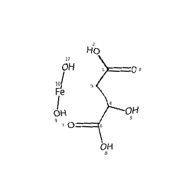 O=C(O)CC(O)C(=O)O.[OH][Fe][OH]